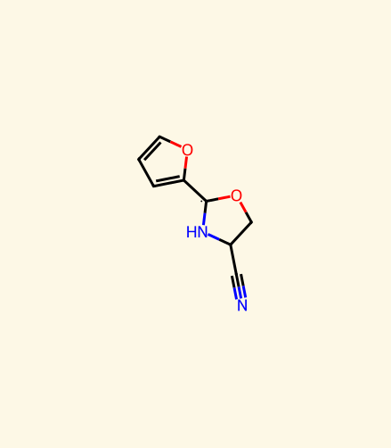 N#CC1CO[C](c2ccco2)N1